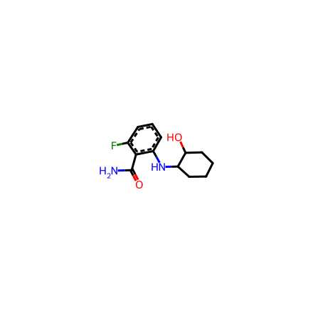 NC(=O)c1c(F)cccc1NC1CCCCC1O